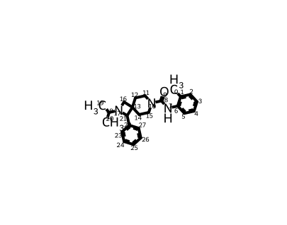 Cc1ccccc1NC(=O)N1CCC2(CC1)CN(C(C)C)C2c1ccccc1